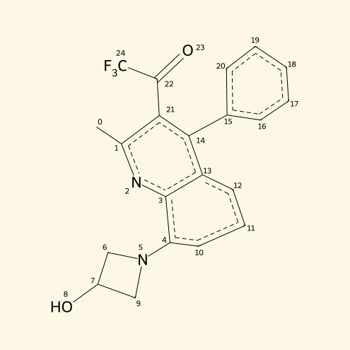 Cc1nc2c(N3CC(O)C3)cccc2c(-c2ccccc2)c1C(=O)C(F)(F)F